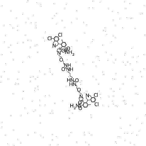 Cc1ccc(S(N)(=O)=O)c([C@@H]2CCN(CCOCCNC(=O)NCCCCNC(=O)NCCOCCN3CC[C@@H](c4c(S(N)(=O)=O)ccc(C)c4C4CN(C)Cc5c(Cl)cc(Cl)cc54)C3)C2)c1C1CN(C)Cc2c(Cl)cc(Cl)cc21